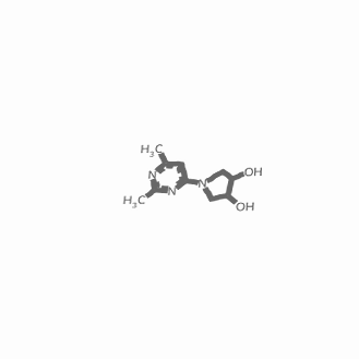 Cc1cc(N2CC(O)C(O)C2)nc(C)n1